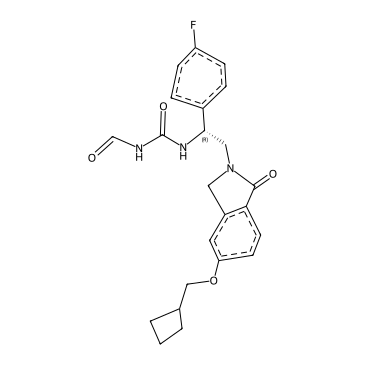 O=CNC(=O)N[C@@H](CN1Cc2cc(OCC3CCC3)ccc2C1=O)c1ccc(F)cc1